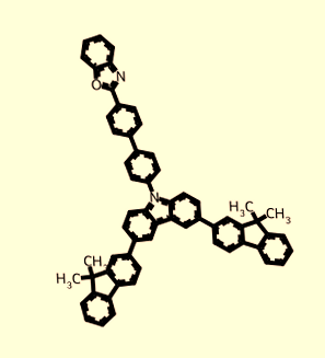 CC1(C)c2ccccc2-c2ccc(-c3ccc4c(c3)c3cc(-c5ccc6c(c5)C(C)(C)c5ccccc5-6)ccc3n4-c3ccc(-c4ccc(-c5nc6ccccc6o5)cc4)cc3)cc21